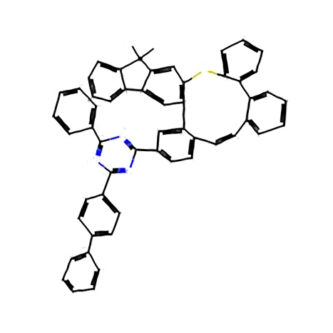 CC1(C)c2ccccc2-c2cc3c(cc21)Sc1ccccc1-c1ccccc1/C=C\c1ccc(-c2nc(-c4ccccc4)nc(-c4ccc(-c5ccccc5)cc4)n2)cc1-3